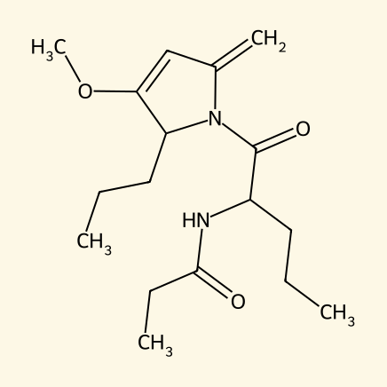 C=C1C=C(OC)C(CCC)N1C(=O)C(CCC)NC(=O)CC